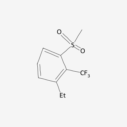 CCc1cccc(S(C)(=O)=O)c1C(F)(F)F